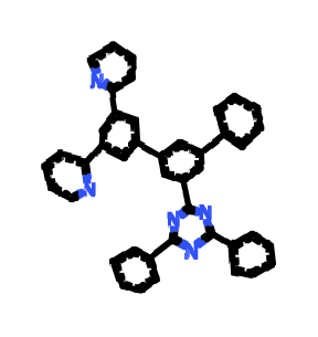 c1ccc(-c2cc(-c3cc(-c4ccccn4)cc(-c4ccccn4)c3)cc(-c3nc(-c4ccccc4)nc(-c4ccccc4)n3)c2)cc1